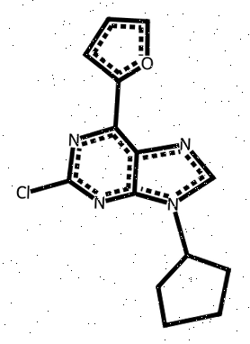 Clc1nc(-c2ccco2)c2ncn(C3CCCC3)c2n1